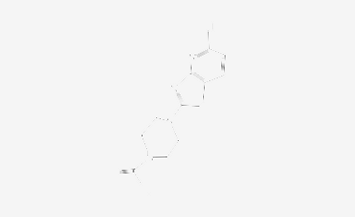 Cc1ccc2oc(N3CCN(C(=O)Cl)CC3)nc2n1